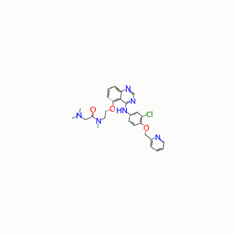 CN(C)CC(=O)N(C)CCOc1cccc2ncnc(Nc3ccc(OCc4ccccn4)c(Cl)c3)c12